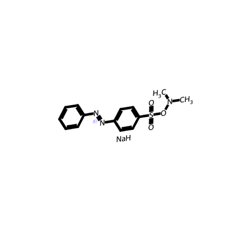 CN(C)OS(=O)(=O)c1ccc(/N=N/c2ccccc2)cc1.[NaH]